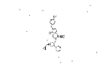 COc1ccc(CN2CCC3(CCN(CC4CN(CC5CC5)CC4c4ccccc4)CC3)C2=O)cc1.Cl.Cl